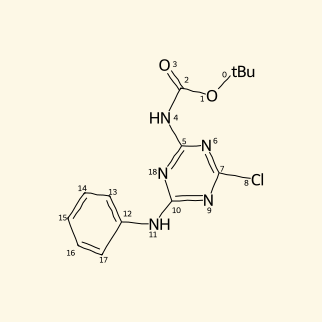 CC(C)(C)OC(=O)Nc1nc(Cl)nc(Nc2ccccc2)n1